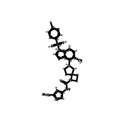 COc1nsc(NC(=O)N2CCC23CCN(c2c(C#N)cnc4c2ccn4S(=O)(=O)c2ccc(C)cc2)C3)n1